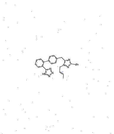 C/C=C/Cn1nc(C(C)C)nc1Cc1ccc(-c2ccccc2-c2nnn[nH]2)cc1